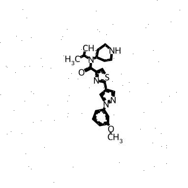 COc1cccc(-n2cc(-c3nc(C(=O)N(C(C)C)C4CCNCC4)cs3)cn2)c1